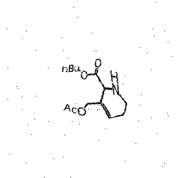 CCCCOC(=O)C1NCCC=C1COC(C)=O